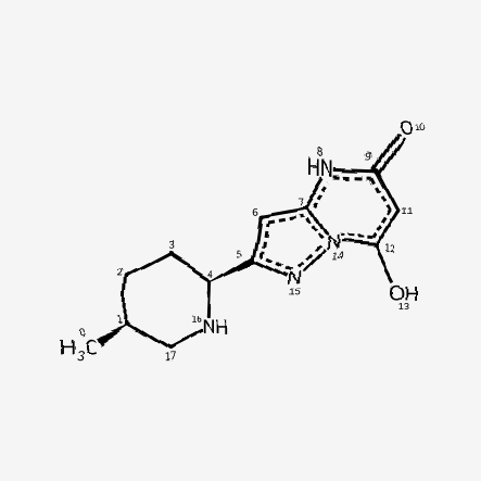 C[C@H]1CC[C@@H](c2cc3[nH]c(=O)cc(O)n3n2)NC1